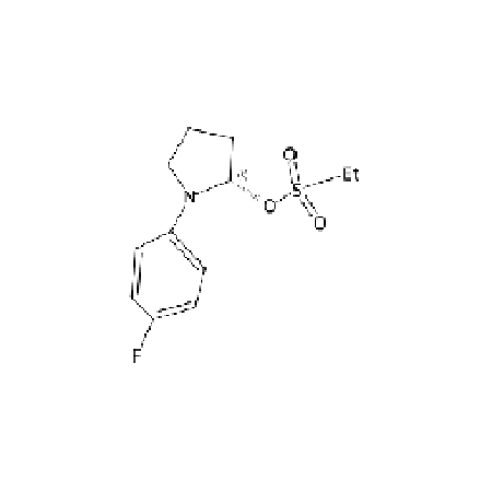 CCS(=O)(=O)O[C@H]1CCCN1c1ccc(F)cc1